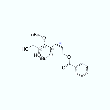 CCCCO[C@@H]([C@@H](O)CO)[C@@H](/C=C\COC(=O)c1ccccc1)OCCCC